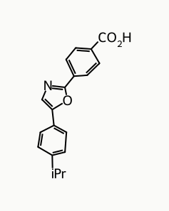 CC(C)c1ccc(-c2cnc(-c3ccc(C(=O)O)cc3)o2)cc1